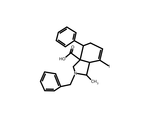 CC1C2C(I)=CCC(c3ccccc3)C2(C(=O)O)CN1Cc1ccccc1